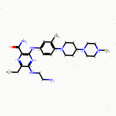 CCc1nc(C(N)=O)c(Nc2ccc(N3CCC(N4CCN(C)CC4)CC3)c(C)c2)nc1NCCN